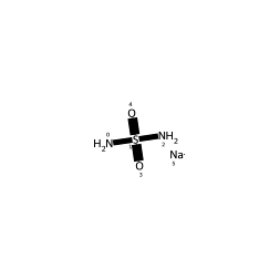 NS(N)(=O)=O.[Na]